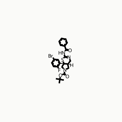 CC(C)(C)OC(=O)N1C[C@@H]2CN=C(NC(=O)c3ccccc3)S[C@@]2(c2cc(Br)ccc2F)C1